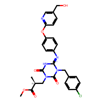 COC(=O)[C@@H](C)Cn1c(=O)[nH]/c(=N\c2ccc(Oc3ccc(CO)cn3)cc2)n(Cc2ccc(Cl)cc2)c1=O